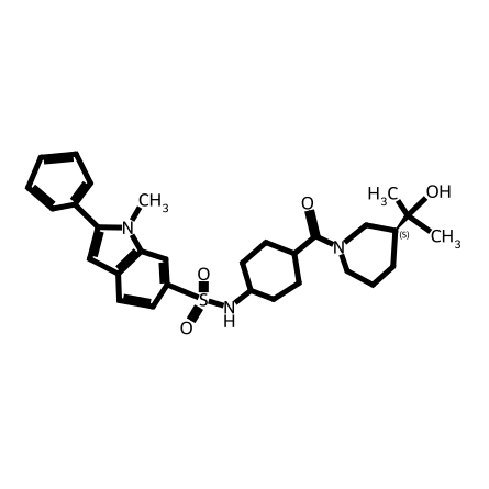 Cn1c(-c2ccccc2)cc2ccc(S(=O)(=O)NC3CCC(C(=O)N4CCC[C@H](C(C)(C)O)C4)CC3)cc21